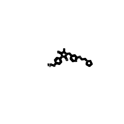 CC1C(=O)N(c2ccc(OC(F)(F)F)cc2)C(=O)N1Cc1ccnc(OCCN2CCCC2)c1